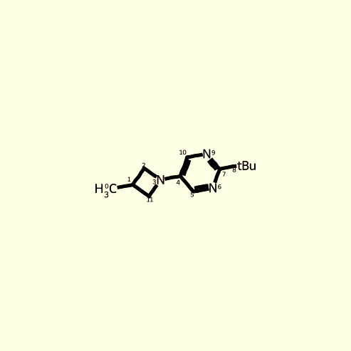 CC1CN(c2cnc(C(C)(C)C)nc2)C1